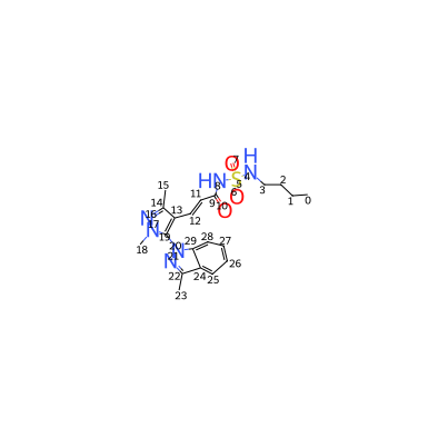 CCCCNS(=O)(=O)NC(=O)C=Cc1c(C)nn(C)c1-n1nc(C)c2ccccc21